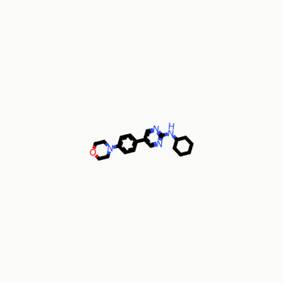 c1cc(N2CCOCC2)ccc1-c1cnc(NC2CCCCC2)nc1